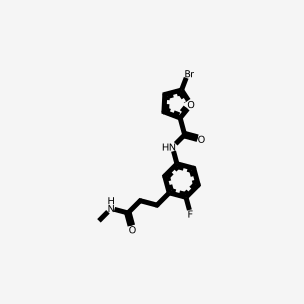 CNC(=O)CCc1cc(NC(=O)c2ccc(Br)o2)ccc1F